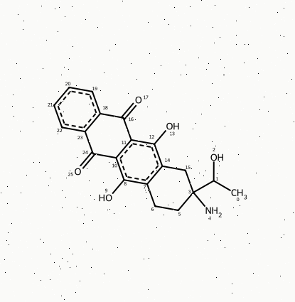 CC(O)C1(N)CCc2c(O)c3c(c(O)c2C1)C(=O)c1ccccc1C3=O